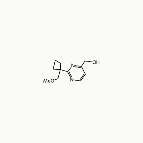 COCC1(c2nccc(CO)n2)CCC1